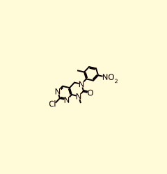 Cc1ccc([N+](=O)[O-])cc1N1Cc2cnc(Cl)nc2N(C)C1=O